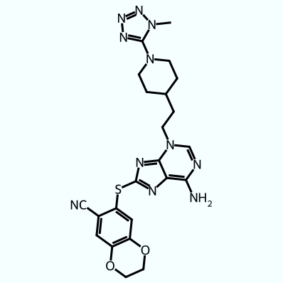 Cn1nnnc1N1CCC(CCn2cnc(N)c3nc(Sc4cc5c(cc4C#N)OCCO5)nc2-3)CC1